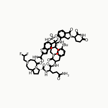 CC(C)(C)c1ccc(CC(NC(=O)C(CCC(N)=O)NC(=O)[C@@H]2CC[C@@H]3CCN(CC(F)F)C[C@H](NC(=O)c4cc5cc(C(F)(F)P(=O)(O)O)ccc5s4)C(=O)N32)C(=O)N2CCC(CNc3cccc4c3CN(C3CCC(=O)NC3=O)C4=O)CC2)cc1